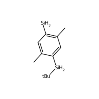 Cc1cc([SiH2]C(C)(C)C)c(C)cc1[SiH3]